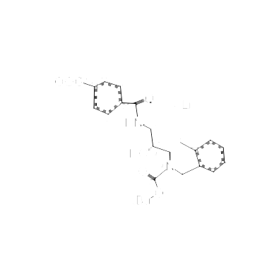 CC(C)(C)OC(=O)N1Cc2ccccc2C[C@H]1[C@H](O)CNC(=O)c1ccc(C(=O)[O-])cc1.[Li+]